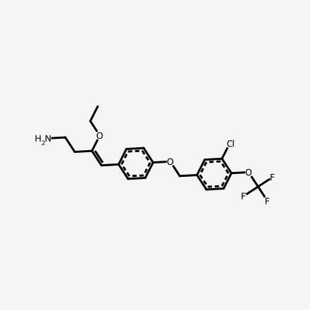 CCOC(=Cc1ccc(OCc2ccc(OC(F)(F)F)c(Cl)c2)cc1)CCN